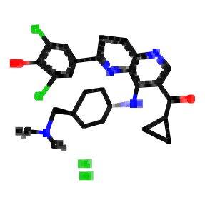 CN(C)C[C@H]1CC[C@H](Nc2c(C(=O)C3CC3)cnc3ccc(-c4cc(Cl)c(O)c(Cl)c4)nc23)CC1.Cl.Cl